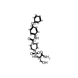 NC(=O)[C@@H](CO)NS(=O)(=O)N1CCN(C(=O)Nc2ccc(Oc3ccccc3)cc2)CC1